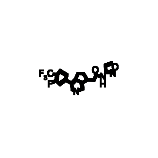 O=C(CC1CCc2c(-c3ccc(C(F)(F)F)c(F)c3)cncc21)Nc1ccon1